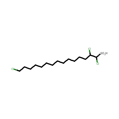 O=S(=O)(O)C(Cl)C(Cl)CCCCCCCCCCCCCCl